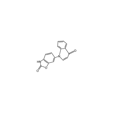 O=c1[nH]c2ccc(-n3ccc(=O)c4ccccc43)cc2o1